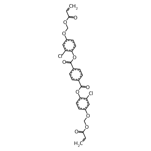 C=CC(=O)OCOc1ccc(OC(=O)c2ccc(C(=O)Oc3ccc(OCOC(=O)C=C)cc3Cl)cc2)c(Cl)c1